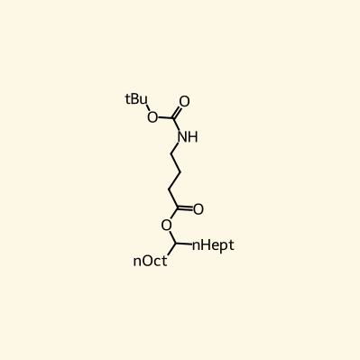 CCCCCCCCC(CCCCCCC)OC(=O)CCCNC(=O)OC(C)(C)C